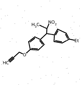 C#CCOc1ccc(C(c2ccc(CC)cc2)C(C)[N+](=O)[O-])cc1